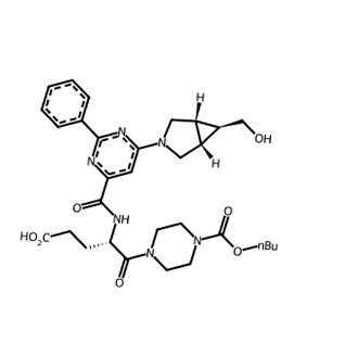 CCCCOC(=O)N1CCN(C(=O)[C@H](CCC(=O)O)NC(=O)c2cc(N3C[C@@H]4[C@@H](CO)[C@@H]4C3)nc(-c3ccccc3)n2)CC1